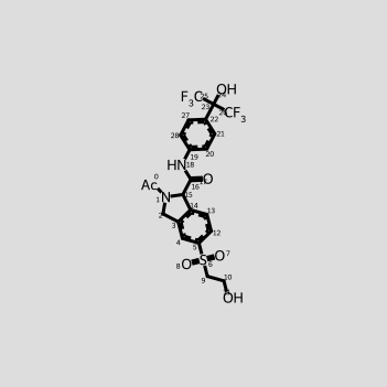 CC(=O)N1Cc2cc(S(=O)(=O)CCO)ccc2C1C(=O)Nc1ccc(C(O)(C(F)(F)F)C(F)(F)F)cc1